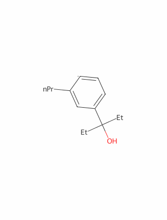 CCCc1[c]ccc(C(O)(CC)CC)c1